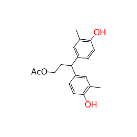 CC(=O)OCCC(c1ccc(O)c(C)c1)c1ccc(O)c(C)c1